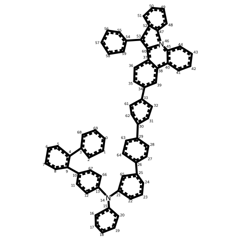 c1ccc(-c2ccccc2-c2ccc(N(c3ccccc3)c3cccc(-c4ccc(-c5ccc(-c6ccc7c(c6)c6ccccc6n6c8ccccc8c(-c8ccccc8)c76)cc5)cc4)c3)cc2)cc1